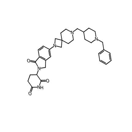 O=C1CCC(N2Cc3cc(N4CC5(CCN(CC6CCN(Cc7ccccc7)CC6)CC5)C4)ccc3C2=O)C(=O)N1